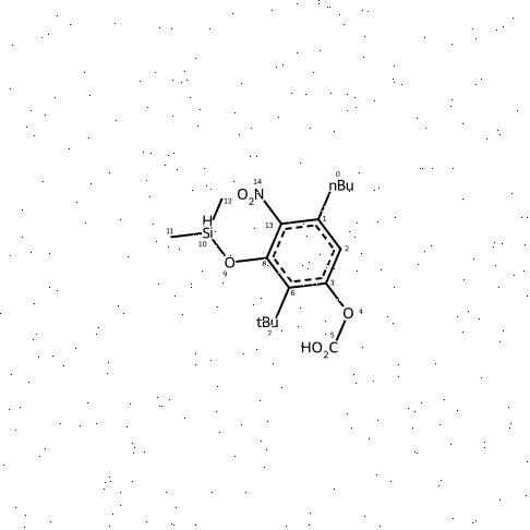 CCCCc1cc(OC(=O)O)c(C(C)(C)C)c(O[SiH](C)C)c1[N+](=O)[O-]